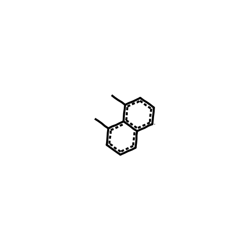 Cc1cc[c]c2cccc(C)c12